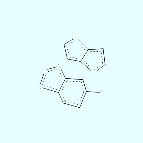 Fc1ccc2nsnc2c1.c1cc2sccc2s1